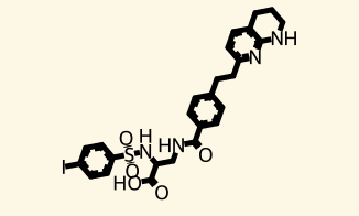 O=C(NCC(NS(=O)(=O)c1ccc(I)cc1)C(=O)O)c1ccc(CCc2ccc3c(n2)NCCC3)cc1